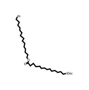 CCCCCCCCCCCCCCCCCCCCCCCC(=O)OCCCCCCCCCCCCCCCC(C)C